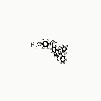 Cc1ccc(N(C)c2ccc3nc(C)n(C(c4ccccc4)c4ccccc4)c(=O)c3c2)cc1